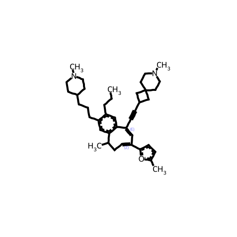 CCCc1cc2c(cc1CCCC1CCN(C)CC1)C(C)C/C=C(c1ccc(C)o1)/C=C\2C#CC1CC2(CCN(C)CC2)C1